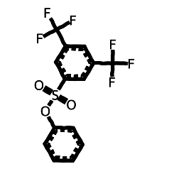 O=S(=O)(Oc1ccccc1)c1cc(C(F)(F)F)cc(C(F)(F)F)c1